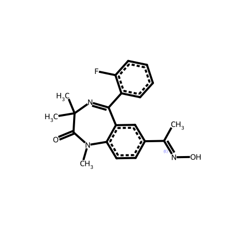 C/C(=N\O)c1ccc2c(c1)C(c1ccccc1F)=NC(C)(C)C(=O)N2C